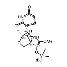 COC(=O)N[C@H]1[C@H]2OC[C@]1(CO[Si](C)(C)C(C)(C)C)O[C@H]2n1ccc(=O)[nH]c1=O